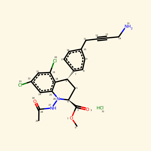 COC(=O)[C@@H]1C[C@@H](c2ccc(CC#CCN)cc2)c2c(Cl)cc(Cl)cc2N1NC(C)=O.Cl